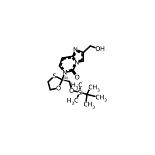 CC(C)(C)[Si](C)(C)OC[C@@]1(n2ccc3nc(CO)cn3c2=O)OCCS1